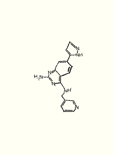 Nc1nc(NCc2cccnc2)c2ccc(-c3ccn[nH]3)cc2n1